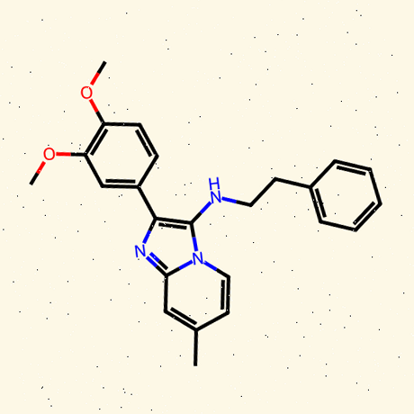 COc1ccc(-c2nc3cc(C)ccn3c2NCCc2ccccc2)cc1OC